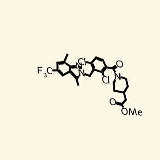 COC(=O)CC1CCN(C(=O)c2ccc(Cl)c(Cn3nc4c(C)cc(C(F)(F)F)cc4c3C)c2Cl)CC1